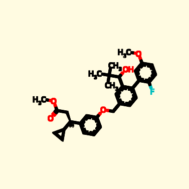 COC(=O)C[C@@H](c1cccc(OCc2ccc(-c3cc(OC)ccc3F)c(C(O)C(C)(C)C)c2)c1)C1CC1